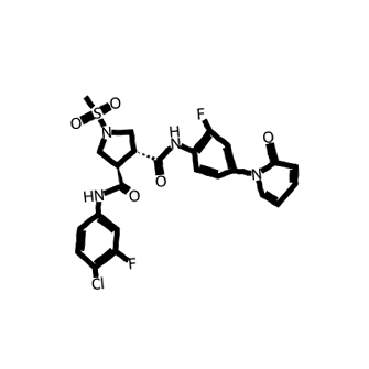 CS(=O)(=O)N1C[C@H](C(=O)Nc2ccc(Cl)c(F)c2)[C@@H](C(=O)Nc2ccc(-n3ccccc3=O)cc2F)C1